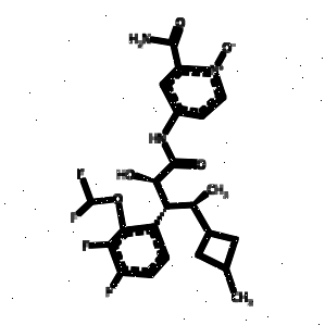 CC1CC([C@H](C)[C@H](c2ccc(F)c(F)c2OC(F)F)[C@@H](O)C(=O)Nc2cc[n+]([O-])c(C(N)=O)c2)C1